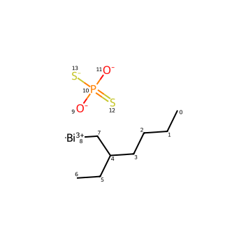 CCCCC(CC)[CH2][Bi+3].[O-]P([O-])(=S)[S-]